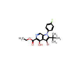 CCOC(=O)c1ncc2c(c1O)c(Br)c(C(C)(C)C)n2-c1ccc(F)cc1